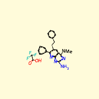 CNc1nc(N)nc2nc(-c3ccccc3)c(CCc3ccccc3)cc12.O=C(O)C(F)(F)F